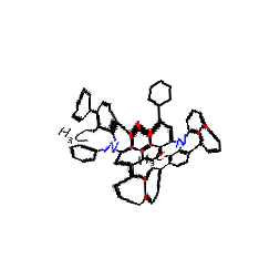 Cc1c(-c2ccccc2)ccc(-c2ccccc2)c1N(c1ccccc1)c1cc(C2CCCCC2)c2ccc3c(N(c4ccccc4)c4c(-c5ccccc5)ccc(-c5ccccc5)c4C)cc(C4CCCCC4)c4ccc1c2c43